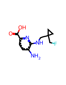 Nc1ccc(C(=O)O)nc1NCC1(CF)CC1